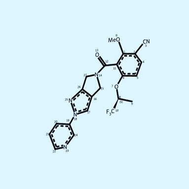 COc1c(C#N)ccc(O[C@@H](C)C(F)(F)F)c1C(=O)N1Cc2cn(-c3cccnc3)nc2C1